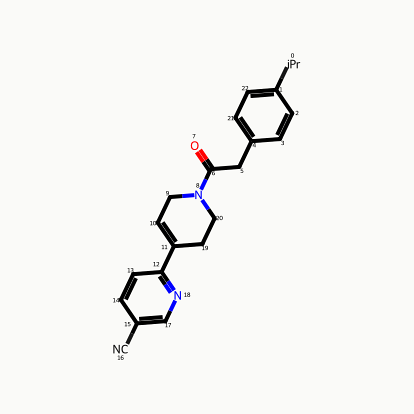 CC(C)c1ccc(CC(=O)N2CC=C(c3ccc(C#N)cn3)CC2)cc1